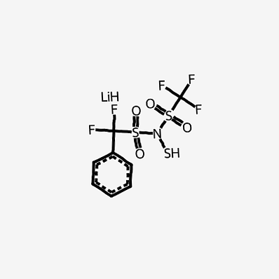 O=S(=O)(N(S)S(=O)(=O)C(F)(F)c1ccccc1)C(F)(F)F.[LiH]